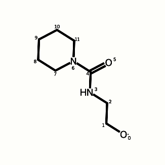 [O]CCNC(=O)N1CCCCC1